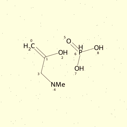 C=C(O)CNC.O=[PH](O)O